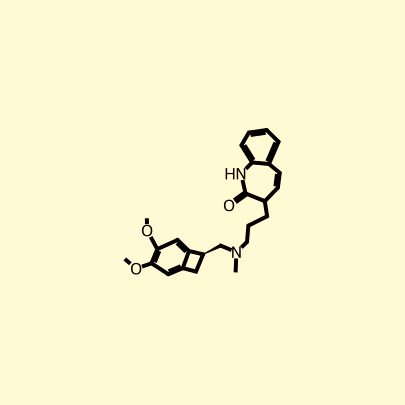 COc1cc2c(cc1OC)[C@@H](CN(C)CCCC1C=Cc3ccccc3NC1=O)C2